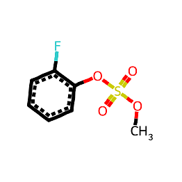 COS(=O)(=O)Oc1ccccc1F